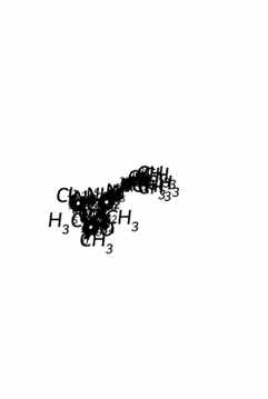 Cc1cc([C@@H](C)Oc2ccc(Cl)nc2C(N)=O)c2oc(-c3ccc4nn(C5CC(O[Si](C)(C)C(C)(C)C)C5)cc4c3)c(C)c(=O)c2c1